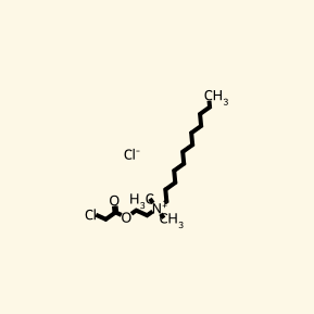 CCCCCCCCCCCC[N+](C)(C)CCOC(=O)CCl.[Cl-]